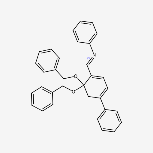 C1=C(c2ccccc2)CC(OCc2ccccc2)(OCc2ccccc2)C(/C=N/c2ccccc2)=C1